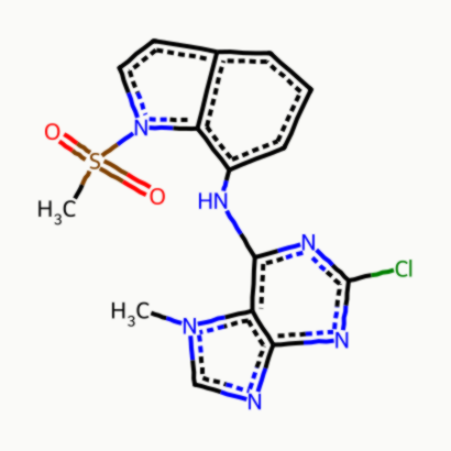 Cn1cnc2nc(Cl)nc(Nc3cccc4ccn(S(C)(=O)=O)c34)c21